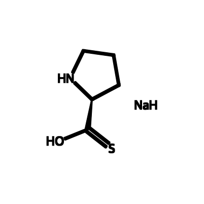 OC(=S)[C@@H]1CCCN1.[NaH]